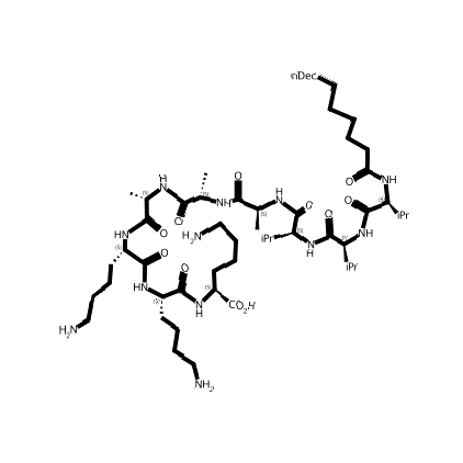 CCCCCCCCCCCCCCCC(=O)N[C@H](C(=O)N[C@H](C(=O)N[C@H](C(=O)N[C@@H](C)C(=O)N[C@@H](C)C(=O)N[C@@H](C)C(=O)N[C@@H](CCCCN)C(=O)N[C@@H](CCCCN)C(=O)N[C@@H](CCCCN)C(=O)O)C(C)C)C(C)C)C(C)C